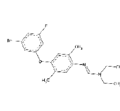 CCN(C=Nc1cc(C)c(Oc2cc(F)cc(Br)c2)cc1C)CC